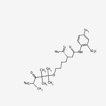 COC(C)C(=O)C(C)(C)C(C)(C)OCCCCC(CC(=O)Nc1ccc(C)cc1S(=O)(=O)O)C(=O)C(C)(C)C